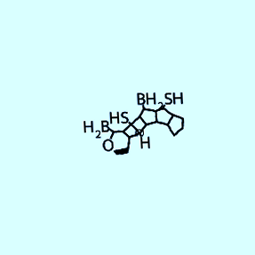 BC1OC#CC2C1C1(S)C3C(B)C4C(S)C5CCCC5C4C3[C@H]21